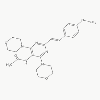 COc1ccc(/C=C/c2nc(N3CCOCC3)c(NC(C)=O)c(N3CCOCC3)n2)cc1